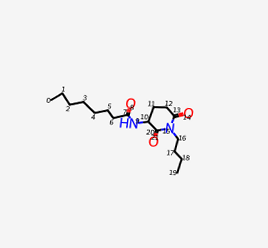 CCCCCCCC(=O)NC1CCC(=O)N(CCCC)C1=O